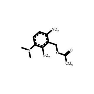 CN(C)c1ccc([N+](=O)[O-])c(COC(=O)C(Cl)(Cl)Cl)c1[N+](=O)[O-]